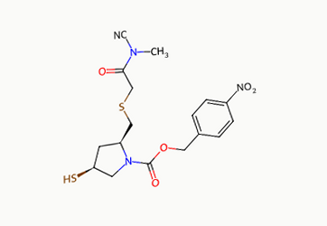 CN(C#N)C(=O)CSC[C@@H]1C[C@H](S)CN1C(=O)OCc1ccc([N+](=O)[O-])cc1